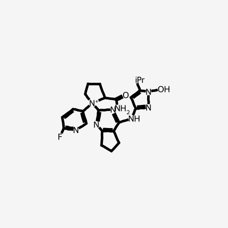 CC(C)c1cc(Nc2nc([N+]3(c4ccc(F)nc4)CCCC3C(N)=O)nc3c2CCC3)nn1O